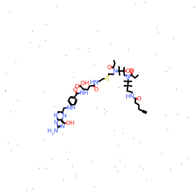 C#CCCCC(=O)NCCC(C)(C)C(C)(C)N(CC(C)(O)C(C)(C)N(CCSCCNC(=O)CCC(NC(=O)c1ccc(NCc2cnc3nc(N)nc(O)c3n2)cc1)C(=O)O)C(=O)CC)C(=O)CC